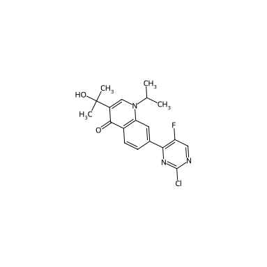 CC(C)n1cc(C(C)(C)O)c(=O)c2ccc(-c3nc(Cl)ncc3F)cc21